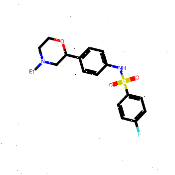 CCN1CCOC(c2ccc(NS(=O)(=O)c3ccc(F)cc3)cc2)C1